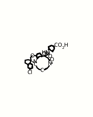 CN1CC=CCCCCN2C[C@@]3(CCCc4cc(Cl)ccc43)COc3ccc(cc32)[C@@](O)(C(=O)Nc2ccc(C(=O)O)cc2)CC1=O